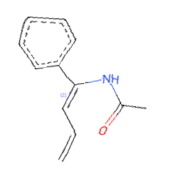 C=C/C=C(\NC(C)=O)c1ccccc1